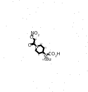 CC(C)(C)N(C(=O)O)C1CCN(C(=O)CO[N+](=O)[O-])CC1